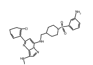 CBc1cnn2c(NCC3CCN(S(=O)(=O)c4cccc(N)c4)CC3)cc(C3=C(Cl)CCC=C3)nc12